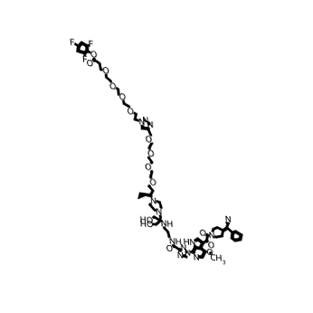 COc1cnc(-n2cnc(C(=O)NCCCNC(CO)(CO)CN3CCN(C(CCOCCOCCOCCOCc4cn(CCOCCOCCOCCOCCC(=O)Oc5c(F)cc(F)cc5F)nn4)=C4CC4)CC3)n2)c2[nH]cc(C(=O)C(=O)N3CCC(=C(C#N)c4ccccc4)CC3)c12